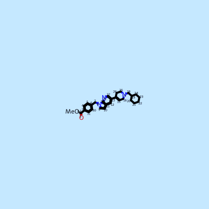 COC(=O)c1ccc(Cn2ccc3cc(C4=CCN(CC5CCCCC5)CC4)cnc32)cc1